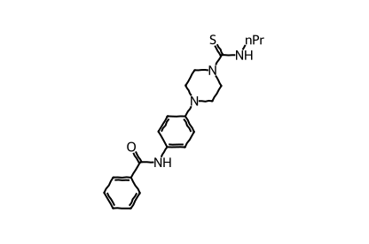 CCCNC(=S)N1CCN(c2ccc(NC(=O)c3ccccc3)cc2)CC1